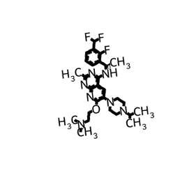 Cc1nc(N[C@H](C)c2cccc(C(F)F)c2F)c2cc(N3CCN(C(C)C)CC3)c(OCCN(C)C)nc2n1